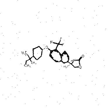 CCC(C)(C)[C@H]1CC[C@H](Oc2ccc3cc([C@]4(C)COC(=O)N4)ccc3c2C(F)(F)F)CC1